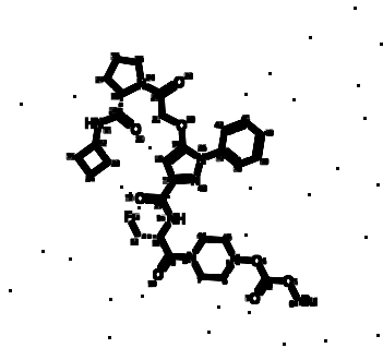 CCCCOC(=O)ON1CCN(C(=O)[C@H](CF)NC(=O)c2cc(OCC(=O)N3CCC[C@H]3C(=O)NC3CCC3)n(-c3ccccc3)n2)CC1